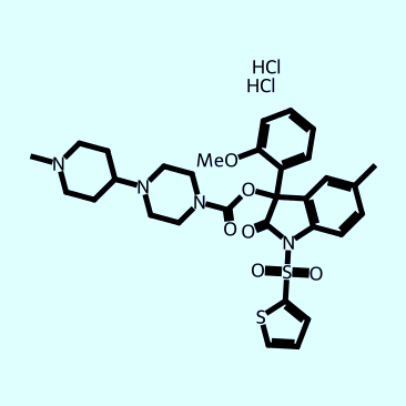 COc1ccccc1C1(OC(=O)N2CCN(C3CCN(C)CC3)CC2)C(=O)N(S(=O)(=O)c2cccs2)c2ccc(C)cc21.Cl.Cl